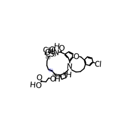 CC[C@@H]1CC/C=C/[C@H](OCCC(=O)O)[C@@H]2CC[C@H]2CN2CCCCc3cc(Cl)ccc3COc3ccc(cc32)C(=O)NS1(=O)=O